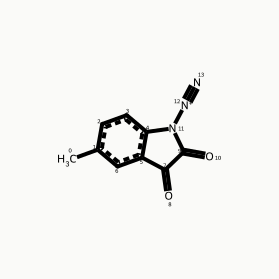 Cc1ccc2c(c1)C(=O)C(=O)N2[N+]#N